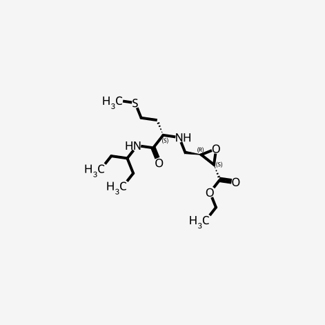 CCOC(=O)[C@H]1O[C@@H]1CN[C@@H](CCSC)C(=O)NC(CC)CC